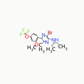 CCC(CC)Nc1nc(C)c(-c2ccc(OC(F)(F)F)cc2OC)nc1Br